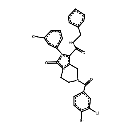 O=C(NCc1ccccc1)c1c2n(c(=O)n1-c1cccc(Cl)c1)CCN(C(=O)c1ccc(Br)c(Cl)c1)C2